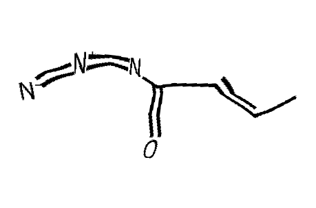 C/C=C/C(=O)N=[N+]=[N-]